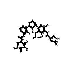 CCCc1c(-c2cccc(-c3cccc(NC(=O)c4cn(C)c(=O)n(C)c4=O)c3C)c2Cl)cc(F)c(CN[C@@H]2CNC(=O)C2)c1OC